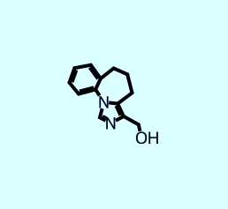 OCc1ncn2c1CCCc1ccccc1-2